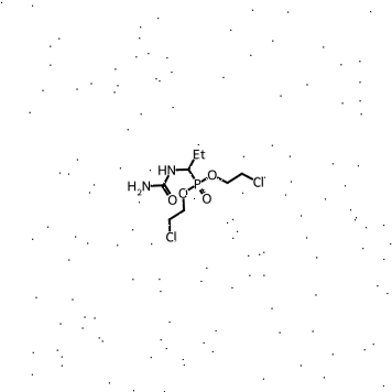 CCC(NC(N)=O)P(=O)(OCCCl)OCCCl